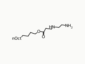 CCCCCCCCCCCCOC(=O)CCNCCN